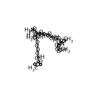 CC[C@@]1(O)C(=O)OCc2c1cc1n(c2=O)Cc2c-1nc1cc(F)c(C)c3c1c2[C@@H](NC(=O)COCNC(=O)CNC(=O)OCc1ccc(NC(=O)[C@H](CCCNC(N)=O)NC(=O)[C@@H](NC(=O)CCOCCOCCOCCOCCNC(=O)CCC(=O)N2Cc4ccccc4/C(C)=C\c4ccccc42)C(C)C)cc1)CC3